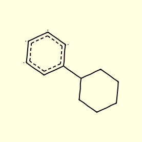 [c]1[c][c]c(C2CCCCC2)c[c]1